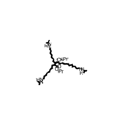 CC(C)=NNCCCCCCCCCC1O[C@H](OC(C)C)C(CCCCCCCCNN=C(C)C)C(CCCCCCCCNN=C(C)C)[C@@H]1OC(C)C